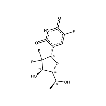 C[C@H](O)[C@H]1O[C@@H](n2cc(F)c(=O)[nH]c2=O)C(F)(F)[C@@H]1O